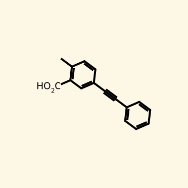 Cc1ccc(C#Cc2ccccc2)cc1C(=O)O